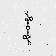 COC=CCc1ccccc1C(C#Cc1ccc(C#CC(c2ccccc2CC=COC)[Si](C)(C)C)cc1)[Si](C)(C)C